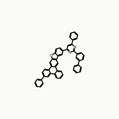 c1ccc(-c2cccc(-c3nc(-c4ccccc4)cc(-c4ccc5oc6cc7c8ccc(-c9ccccc9)cc8c8ccccc8c7cc6c5c4)n3)c2)cc1